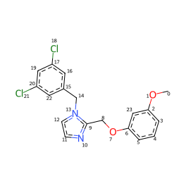 COc1cccc(OCc2nccn2Cc2cc(Cl)cc(Cl)c2)c1